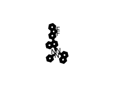 FC1(F)c2ccccc2-c2ccc(-c3ccc(-c4nc(-c5ccccc5)nc(-c5cccc6ccccc56)n4)c4ccccc34)cc21